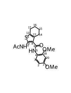 COc1ccc(NC(=O)c2c(NC(C)=O)sc3c2CCCC3)c(OC)c1